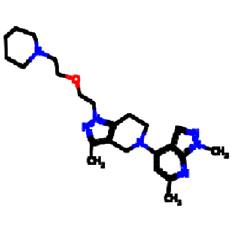 Cc1cc(N2CCc3c(c(C)nn3CCOCCN3CCCCC3)C2)c2cnn(C)c2n1